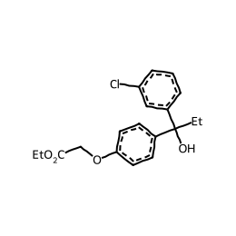 CCOC(=O)COc1ccc(C(O)(CC)c2cccc(Cl)c2)cc1